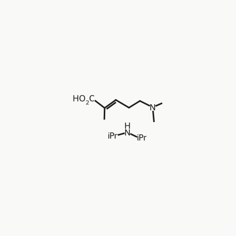 CC(=CCCN(C)C)C(=O)O.CC(C)NC(C)C